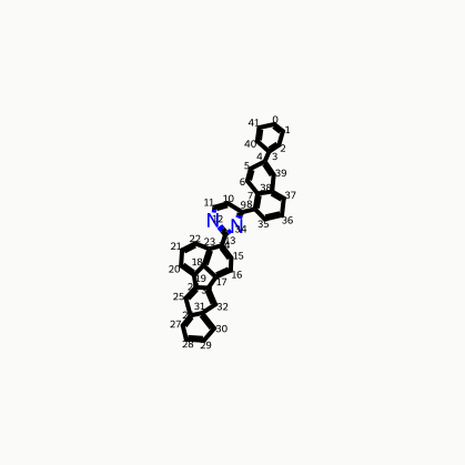 c1ccc(-c2ccc3c(-c4ccnc(-c5ccc6c7c(cccc57)-c5cc7ccccc7cc5-6)n4)cccc3c2)cc1